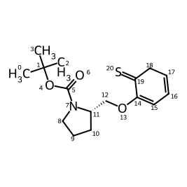 CC(C)(C)OC(=O)N1CCC[C@H]1COC1=CC=CCC1=S